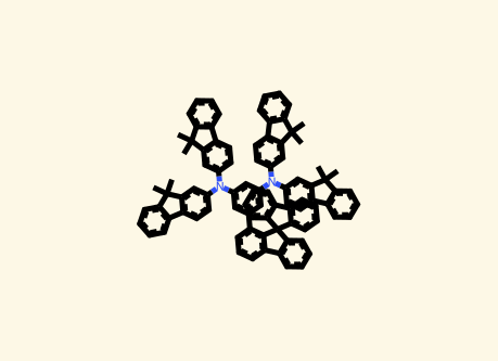 CC1(C)c2ccccc2-c2ccc(N(c3cc(-c4cccc5c4C4(c6ccccc6-c6ccccc64)c4ccccc4-5)cc(N(c4ccc5c(c4)C(C)(C)c4ccccc4-5)c4ccc5c(c4)C(C)(C)c4ccccc4-5)c3)c3ccc4c(c3)C(C)(C)c3ccccc3-4)cc21